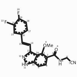 COc1c(C(=O)NCC#N)ccc2[nH]nc(/C=C/c3ccc(F)c(F)c3)c12